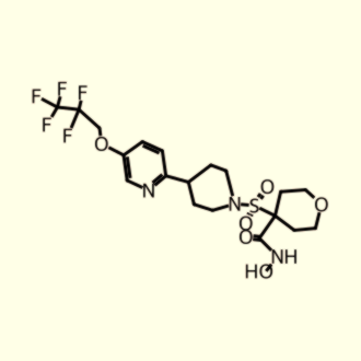 O=C(NO)C1(S(=O)(=O)N2CCC(c3ccc(OCC(F)(F)C(F)(F)F)cn3)CC2)CCOCC1